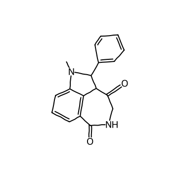 CN1c2cccc3c2C(C(=O)CNC3=O)C1c1ccccc1